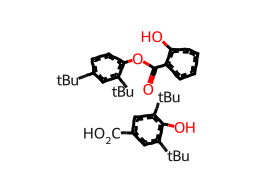 CC(C)(C)c1cc(C(=O)O)cc(C(C)(C)C)c1O.CC(C)(C)c1ccc(OC(=O)c2ccccc2O)c(C(C)(C)C)c1